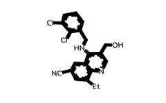 CCc1cc(C#N)cc2c(NCc3cccc(Cl)c3Cl)c(CO)cnc12